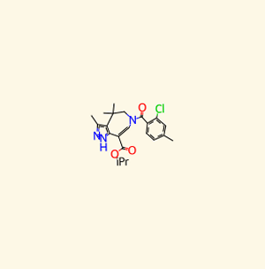 Cc1ccc(C(=O)N2C=C(C(=O)OC(C)C)c3[nH]nc(C)c3C(C)(C)C2)c(Cl)c1